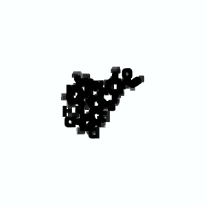 C=CC(=O)N1CC2CSc3c(Cl)c(-c4c(N)c(Cl)cc(Cl)c4F)nc4c3c(nc(=O)n4-c3c(C)ccnc3C(C)C)N2CC1C